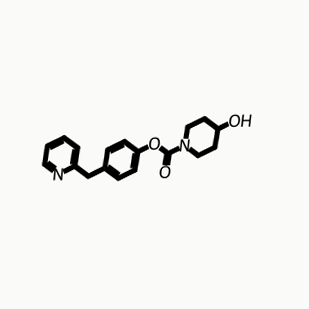 O=C(Oc1ccc(Cc2ccccn2)cc1)N1CCC(O)CC1